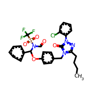 CCCCc1nn(-c2ccccc2Cl)c(=O)n1Cc1ccc(OC(c2ccccc2)N(C=O)S(=O)(=O)C(F)(F)F)cc1